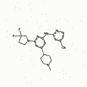 CN1CCC(c2cc(Nc3cc(C#N)ccn3)nc(N3CCC(F)(F)C3)c2)CC1